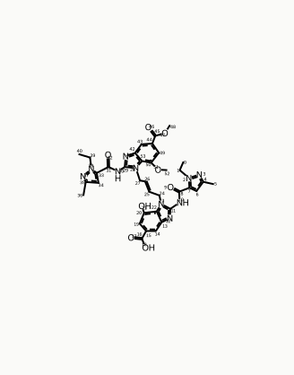 CCn1nc(C)cc1C(=O)Nc1nc2cc(C(=O)O)cc(O)c2n1CC=CCn1c(NC(=O)c2cc(C)nn2CC)nc2cc(C(=O)OC)cc(OC)c21